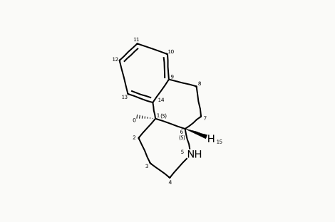 C[C@@]12CCCN[C@H]1CCc1ccccc12